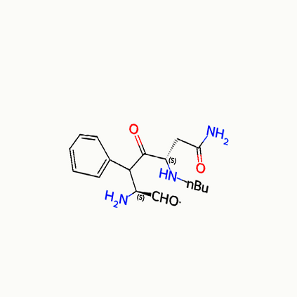 CCCCN[C@@H](CC(N)=O)C(=O)C(c1ccccc1)[C@H](N)[C]=O